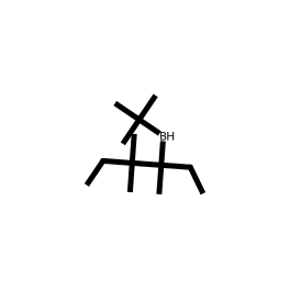 CCC(C)(C)C(C)(BC(C)(C)C)CC